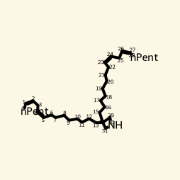 CCCCC/C=C\C/C=C\CCCCCCCCC1(CCCCCCCC/C=C\C/C=C\CCCCC)CNC1